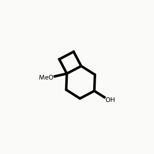 COC12CCC(O)CC1CC2